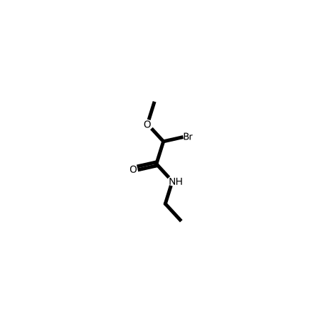 CCNC(=O)C(Br)OC